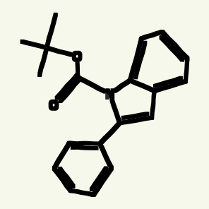 CC(C)(C)OC(=O)n1c(-c2ccccc2)cc2ccccc21